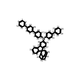 c1ccc(-c2ccc(-c3ccc(N(c4ccc(-c5ccccc5)cc4)c4ccc5c(c4)-c4ccccc4C54C5CC6CC(C5)CC4C6)cc3)cc2)cc1